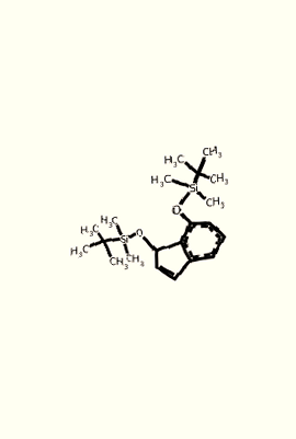 CC(C)(C)[Si](C)(C)O[C]1C=Cc2cccc(O[Si](C)(C)C(C)(C)C)c21